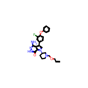 C=CCOCN1CCC[C@@H](n2cc(-c3ccc(Oc4ccccc4)c(F)c3)c3c(N)n[nH]c(=O)c32)C1